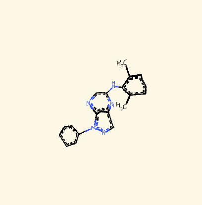 Cc1cccc(C)c1Nc1cnc2c(cnn2-c2ccccc2)n1